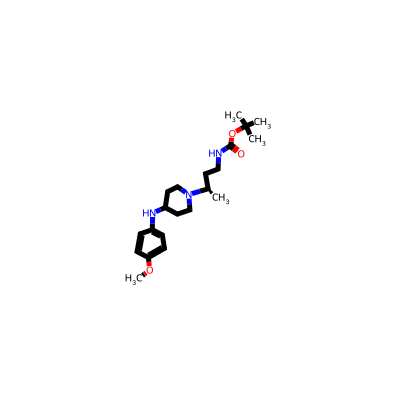 COc1ccc(NC2CCN([C@H](C)CCNC(=O)OC(C)(C)C)CC2)cc1